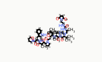 CC[C@H](C)[C@@H]([C@@H](CC(=O)N1CCC[C@H]1[C@H](OC)[C@@H](C)C(=O)N[C@@H](Cc1c[nH]c2ccccc12)C(=O)N1CCCCO1)OC)N(C)[C@H](C(=O)NC(=O)[C@H](C(C)C)N(C)C[C@H](C)NC(=O)NCCN1C(=O)C=CC1=O)C(C)C